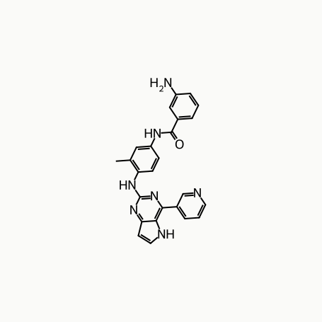 Cc1cc(NC(=O)c2cccc(N)c2)ccc1Nc1nc(-c2cccnc2)c2[nH]ccc2n1